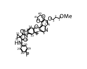 COCCCOc1cc2nccc(Oc3ccc(NC(=O)C4(C(=O)Nc5ccc(F)cc5)CC4)cc3F)c2c2c1OCCO2